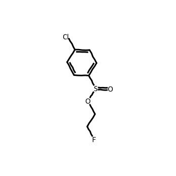 O=S(OCCF)c1ccc(Cl)cc1